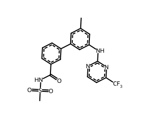 Cc1cc(Nc2nccc(C(F)(F)F)n2)cc(-c2cccc(C(=O)NS(C)(=O)=O)c2)c1